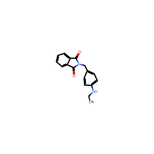 N#CCNc1ccc(CN2C(=O)c3ccccc3C2=O)cc1